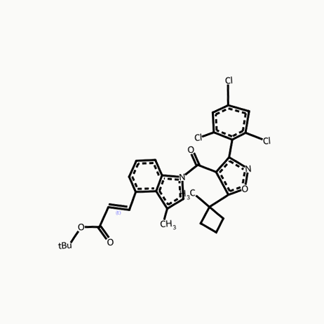 Cc1cn(C(=O)c2c(-c3c(Cl)cc(Cl)cc3Cl)noc2C2(C)CCC2)c2cccc(/C=C/C(=O)OC(C)(C)C)c12